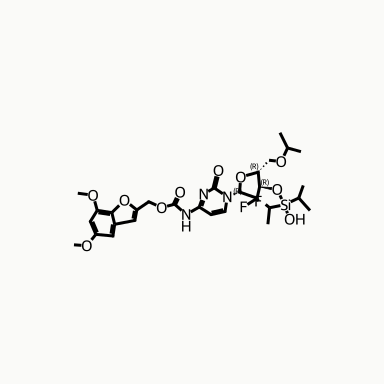 COc1cc(OC)c2oc(COC(=O)Nc3ccn([C@@H]4O[C@H](COC(C)C)[C@@H](O[Si](O)(C(C)C)C(C)C)C4(F)F)c(=O)n3)cc2c1